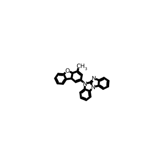 CC1=CC(n2c3ccccc3n3c4ccccc4nc23)=CC2c3ccccc3OC12